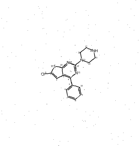 Clc1cc2c(-c3ccccc3)nc(N3CCNCC3)nc2s1